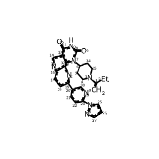 C=C(CC)N1CCC(n2c(=O)[nH]c(=O)c3cnc4ccc(-c5ccc(-n6cccn6)nc5)nc4c32)CC1